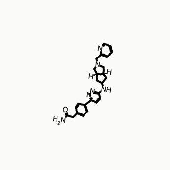 NC(=O)Cc1ccc(-c2ccc(NC3C[C@@H]4CN(Cc5ccccn5)C[C@@H]4C3)nn2)cc1